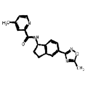 Cc1ccnc(C(=O)NC2CCc3cc(-c4noc(C)n4)ccc32)c1